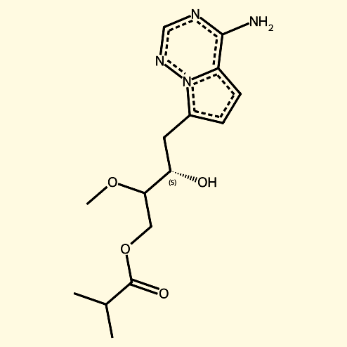 COC(COC(=O)C(C)C)[C@@H](O)Cc1ccc2c(N)ncnn12